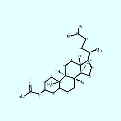 CCCCC(=O)OC1CC[C@@]2(C)C(CC[C@H]3[C@@H]4CC[C@H]([C@H](C)CC[C@@H](CC)C(C)C)[C@@]4(C)CC[C@@H]32)C1